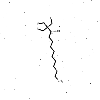 CCOCCCCCCC[C@@H](O)C(CF)(CF)CF